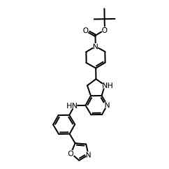 CC(C)(C)OC(=O)N1CC=C(C2Cc3c(Nc4cccc(-c5cnco5)c4)ccnc3N2)CC1